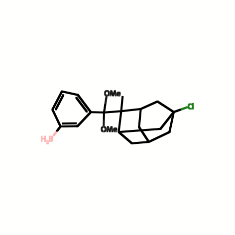 Bc1cccc(C(OC)(OC)C2(C)C3CC4CC2CC(Cl)(C4)C3)c1